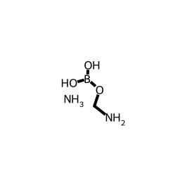 N.NCOB(O)O